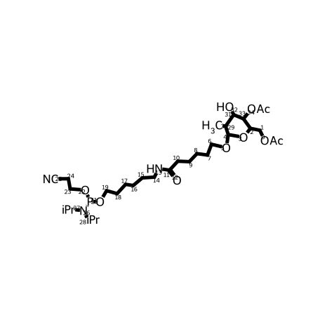 CC(=O)OCC1OC(OCCCCCC(=O)NCCCCCCOP(OCCC#N)N(C(C)C)C(C)C)C(C)C(O)C1OC(C)=O